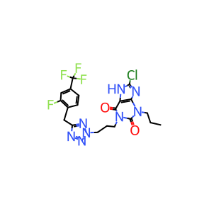 CCCn1c(=O)n(CCCn2nnc(Cc3ccc(C(F)(F)F)cc3F)n2)c(=O)c2[nH]c(Cl)nc21